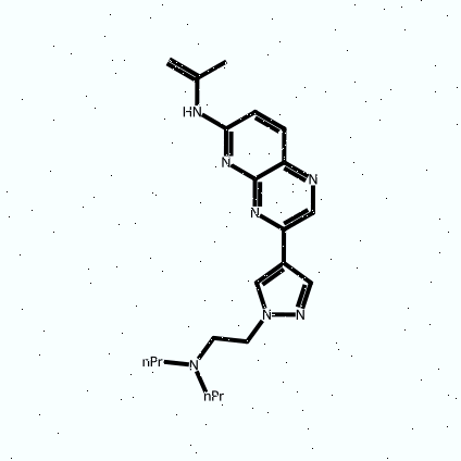 C=C(C)Nc1ccc2ncc(-c3cnn(CCN(CCC)CCC)c3)nc2n1